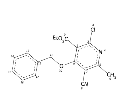 CCOC(=O)c1c(Cl)nc(C)c(C#N)c1OCc1ccccc1